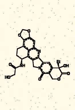 CC[C@@]1(O)C(=O)OCc2c1cc1n(c2=O)Cc2c-1nc1cc3c(c4c1c2[C@@H](NC(=O)CO)CC4)OCO3